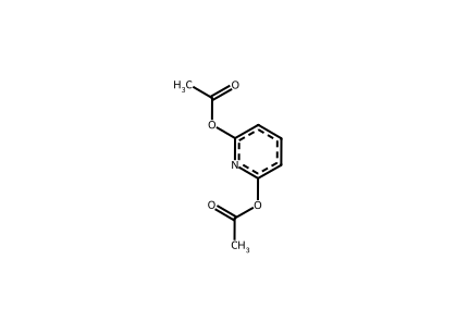 CC(=O)Oc1cccc(OC(C)=O)n1